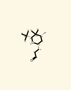 C[C@@H]1C[C@H](CCC=O)O[C@H](C(C)(C)C)C1(C)C